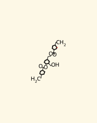 C=Cc1ccc(C(=O)OCCc2ccc(OC(=O)c3ccc(C=C)cc3)c(CO)c2)cc1